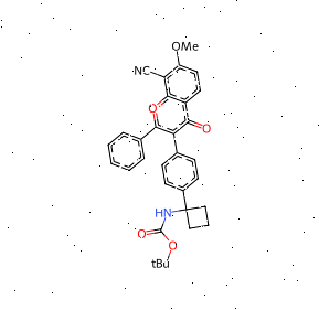 COc1ccc2c(=O)c(-c3ccc(C4(NC(=O)OC(C)(C)C)CCC4)cc3)c(-c3ccccc3)oc2c1C#N